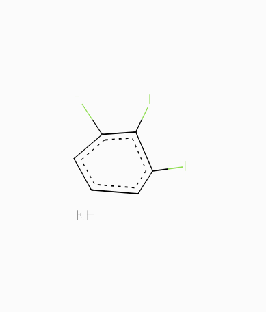 Fc1c[c]cc(F)c1F.[KH]